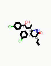 C=CC[C@@H]1C[C@H](c2cccc(Cl)c2)[C@H](C(C)C[C@H](O)c2ccc(Cl)cc2)NC1=O